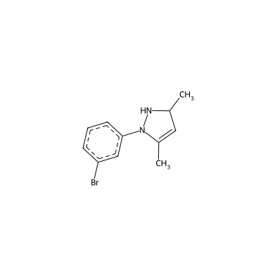 CC1=CC(C)NN1c1cccc(Br)c1